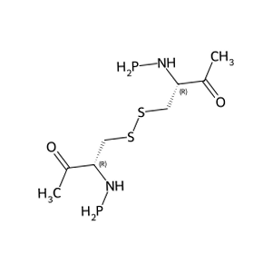 CC(=O)[C@H](CSSC[C@H](NP)C(C)=O)NP